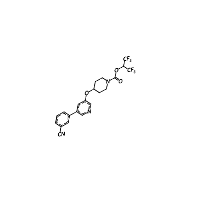 N#Cc1cccc(-c2cncc(OC3CCN(C(=O)OC(C(F)(F)F)C(F)(F)F)CC3)c2)c1